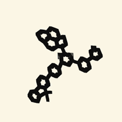 CC1(C)c2ccccc2-c2ccc(-c3ccc(-c4cc(-c5cccc(-c6cccnc6)c5)nc(-c5ccc6ccc7cccc8ccc5c6c78)n4)cc3)cc21